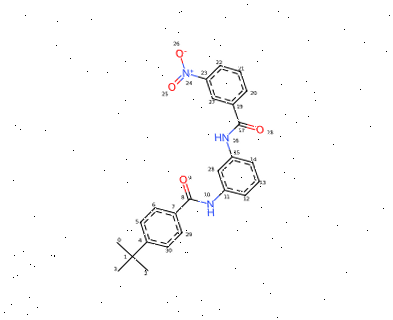 CC(C)(C)c1ccc(C(=O)Nc2cccc(NC(=O)c3cccc([N+](=O)[O-])c3)c2)cc1